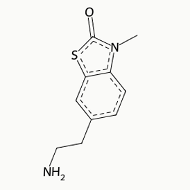 Cn1c(=O)sc2cc(CCN)ccc21